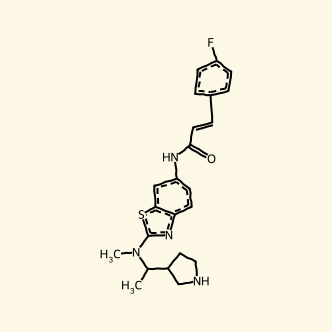 CC(C1CCNC1)N(C)c1nc2ccc(NC(=O)C=Cc3ccc(F)cc3)cc2s1